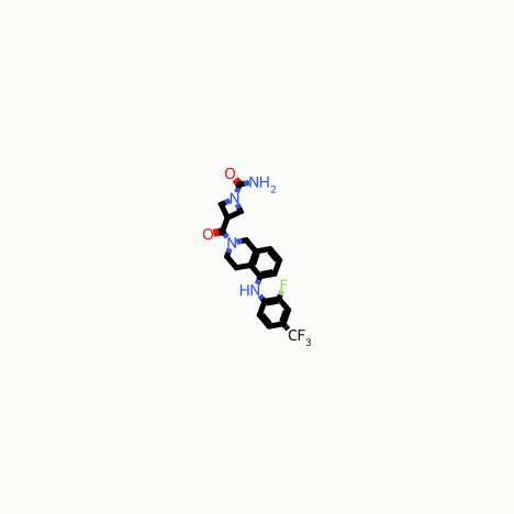 NC(=O)N1CC(C(=O)N2CCc3c(cccc3Nc3ccc(C(F)(F)F)cc3F)C2)C1